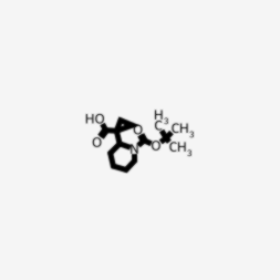 CC(C)(C)OC(=O)N1CCCCC1C1(C(=O)O)CC1